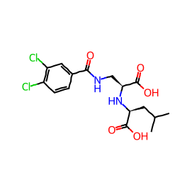 CC(C)C[C@H](N[C@@H](CNC(=O)c1ccc(Cl)c(Cl)c1)C(=O)O)C(=O)O